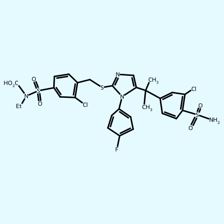 CCN(C(=O)O)S(=O)(=O)c1ccc(CSc2ncc(C(C)(C)c3ccc(S(N)(=O)=O)c(Cl)c3)n2-c2ccc(F)cc2)c(Cl)c1